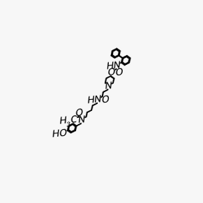 CC(=O)N(CCCCCNC(=O)CCN1CCC(OC(=O)Nc2ccccc2-c2ccccc2)CC1)Cc1ccc(O)cc1